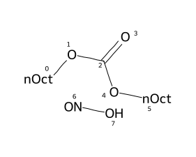 CCCCCCCCOC(=O)OCCCCCCCC.O=NO